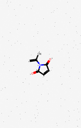 C=C(C#N)N1C(=O)C=CC1=O